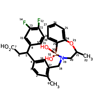 Cc1ccc(C(CC(=O)O)c2ccc(F)c(F)c2)cc1CN1CC(C)Oc2ccccc2S1(O)O